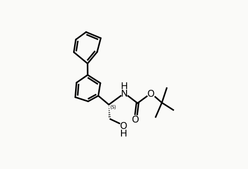 CC(C)(C)OC(=O)N[C@H](CO)c1cccc(-c2ccccc2)c1